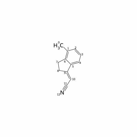 Cc1cccc2c1CCC2=CC#N